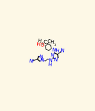 CC1(C)C[C@H](Nc2nc(NCCn3cc(C#N)cn3)ncc2C#N)CC[C@@H]1O